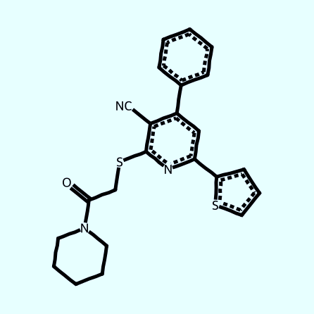 N#Cc1c(-c2ccccc2)cc(-c2cccs2)nc1SCC(=O)N1CCCCC1